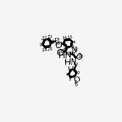 COc1cccc(CNC(=O)c2nc3cccc(OCc4ccccc4)c3c(=O)[nH]2)c1